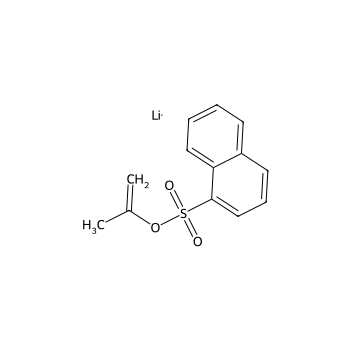 C=C(C)OS(=O)(=O)c1cccc2ccccc12.[Li]